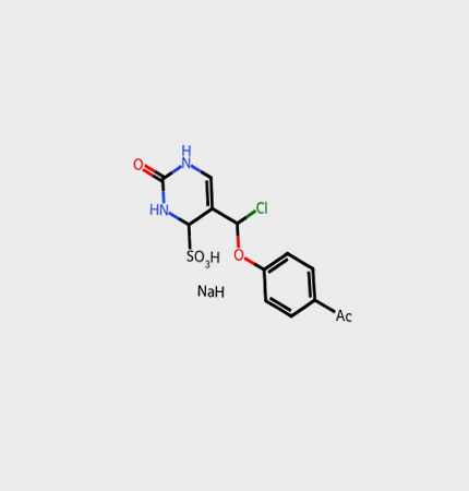 CC(=O)c1ccc(OC(Cl)C2=CNC(=O)NC2S(=O)(=O)O)cc1.[NaH]